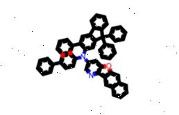 c1ccc(-c2ccc(N(c3cnc4c(c3)oc3cc5ccccc5cc34)c3cc4c(cc3-c3ccccc3)-c3ccccc3C4(c3ccccc3)c3ccccc3)cc2)cc1